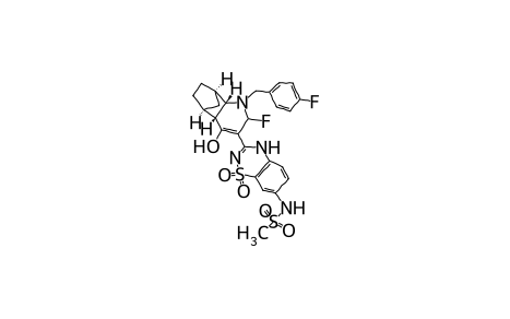 CS(=O)(=O)Nc1ccc2c(c1)S(=O)(=O)N=C(C1=C(O)[C@@H]3[C@H]4CC[C@H](C4)[C@@H]3N(Cc3ccc(F)cc3)C1F)N2